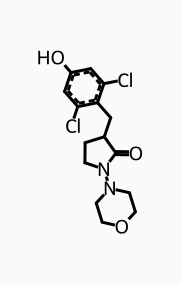 O=C1C(Cc2c(Cl)cc(O)cc2Cl)CCN1N1CCOCC1